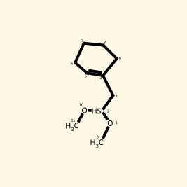 CO[SiH](CC1=CCCCC1)OC